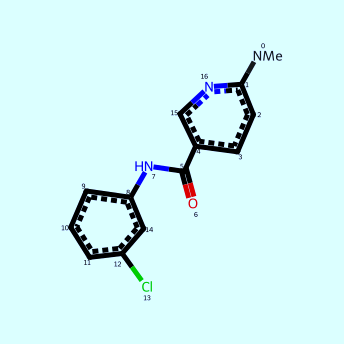 CNc1ccc(C(=O)Nc2cccc(Cl)c2)cn1